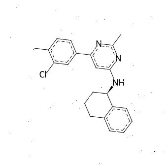 Cc1nc(N[C@@H]2CCCc3ccccc32)cc(-c2ccc(C)c(Cl)c2)n1